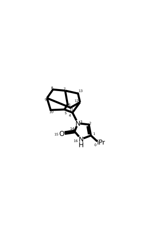 CC(C)c1cn(C2C3CC4CC(C3)CC2C4)c(=O)[nH]1